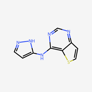 c1cc(Nc2ncnc3ccsc23)[nH]n1